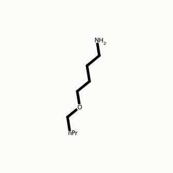 C[CH]CCOCCCCN